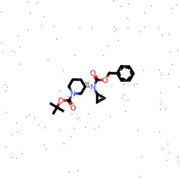 CC(C)(C)OC(=O)N1CCC[C@H](N(C(=O)OCc2ccccc2)C2CC2)C1